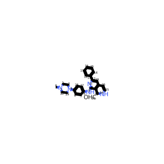 CN1CCN(c2ccc(Nc3nc(-c4ccccc4)cc4c3C(C=O)NC=C4)cc2)CC1